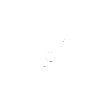 CC(C)(C)NCc1ccc(C(N)=O)cc1